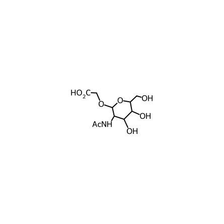 CC(=O)NC1C(OCC(=O)O)OC(CO)C(O)C1O